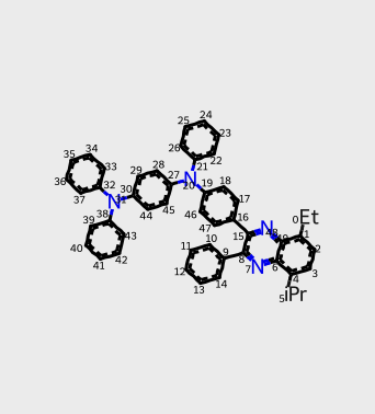 CCc1ccc(C(C)C)c2nc(-c3ccccc3)c(-c3ccc(N(c4ccccc4)c4ccc(N(c5ccccc5)c5ccccc5)cc4)cc3)nc12